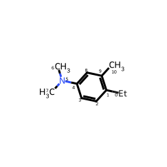 CCc1ccc(N(C)C)cc1C